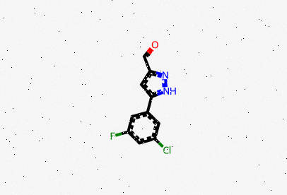 O=Cc1cc(-c2cc(F)cc(Cl)c2)[nH]n1